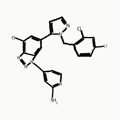 Nc1cc(-n2nnc3c(Cl)cc(-c4ccnn4Cc4ccc(Cl)cc4Cl)cc32)ccn1